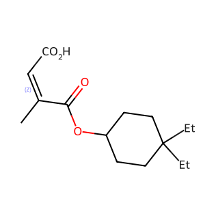 CCC1(CC)CCC(OC(=O)/C(C)=C\C(=O)O)CC1